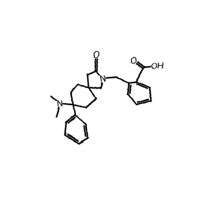 CN(C)C1(c2ccccc2)CCC2(CC1)CC(=O)N(Cc1ccccc1C(=O)O)C2